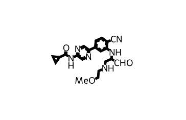 COCCNCC(C=O)Nc1cc(-c2cnc(NC(=O)C3CC3)cn2)ccc1C#N